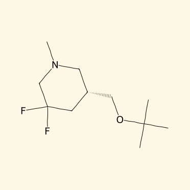 CN1C[C@H](COC(C)(C)C)CC(F)(F)C1